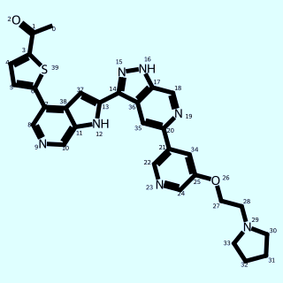 CC(=O)c1ccc(-c2cncc3[nH]c(-c4n[nH]c5cnc(-c6cncc(OCCN7CCCC7)c6)cc45)cc23)s1